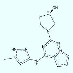 Cc1cc(Nc2nc(N3CC[C@@H](O)C3)nn3cccc23)n[nH]1